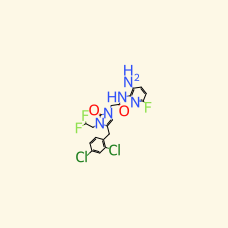 Nc1ccc(F)nc1NC(=O)Cn1cc(Cc2ccc(Cl)cc2Cl)n(CC(F)F)c1=O